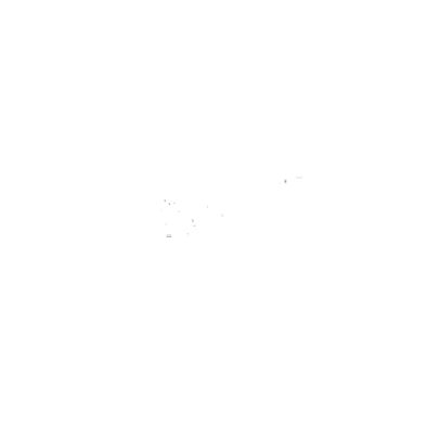 CCCCCCCCCCCCOC(=O)C(N)C(C)O